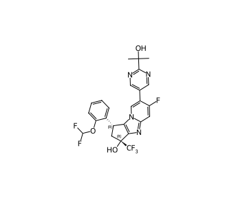 CC(C)(O)c1ncc(-c2cn3c4c(nc3cc2F)[C@@](O)(C(F)(F)F)C[C@@H]4c2ccccc2OC(F)F)cn1